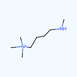 CNCCCC[N+](C)(C)C